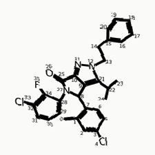 Cc1cc(Cl)ccc1C1c2c(nn(CCc3ccccc3)c2C(C)C)C(=O)N1c1cccc(Cl)c1F